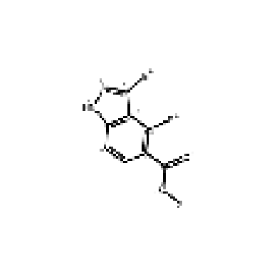 COC(=O)c1ccc2[nH]nc(Br)c2c1F